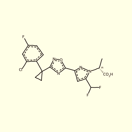 C[C@H](C(=O)O)n1nc(-c2nc(C3(c4ccc(F)cc4Cl)CC3)no2)cc1C(F)F